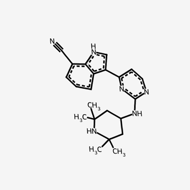 CC1(C)CC(Nc2nccc(-c3c[nH]c4c(C#N)cccc34)n2)CC(C)(C)N1